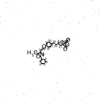 Cc1oc(-c2ccccc2)nc1CCOc1ccc(CCCCC2NC(=O)OC2=O)cc1